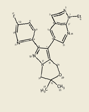 CCn1ncc2cc(-c3c(-c4ccc(F)cn4)nn4c3COC(C)(C)C4)cnc21